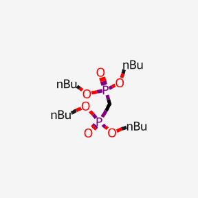 CCCCOP(=O)(CP(=O)(OCCCC)OCCCC)OCCCC